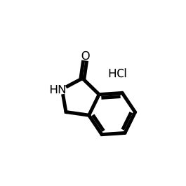 Cl.O=C1NCc2ccccc21